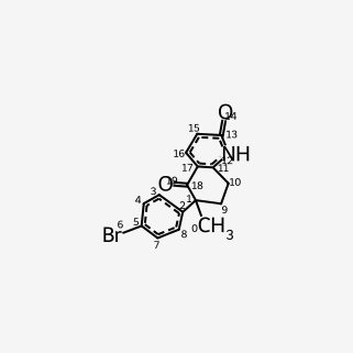 CC1(c2ccc(Br)cc2)CCc2[nH]c(=O)ccc2C1=O